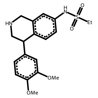 CCS(=O)(=O)Nc1ccc2c(c1)CNCC2c1ccc(OC)c(OC)c1